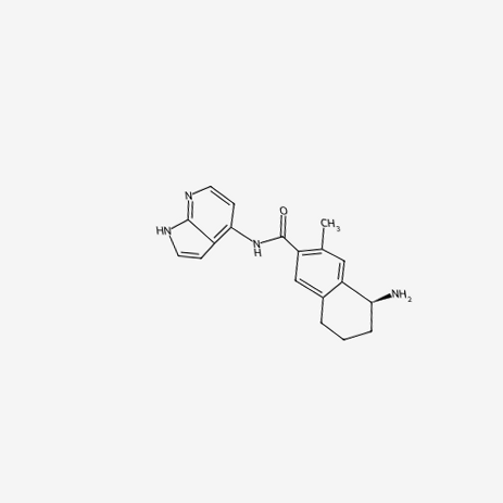 Cc1cc2c(cc1C(=O)Nc1ccnc3[nH]ccc13)CCC[C@@H]2N